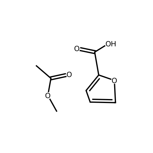 COC(C)=O.O=C(O)c1ccco1